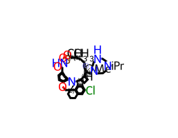 CO[C@@]1(CN2CCCN(C(C)C)CCNCC2)/C=C/C[C@H](C)[C@@H](C)S(=O)(=O)NC(=O)c2ccc3c(c2)N(C[C@@H]2CC[C@H]21)C[C@@]1(CCCc2cc(Cl)ccc21)CO3